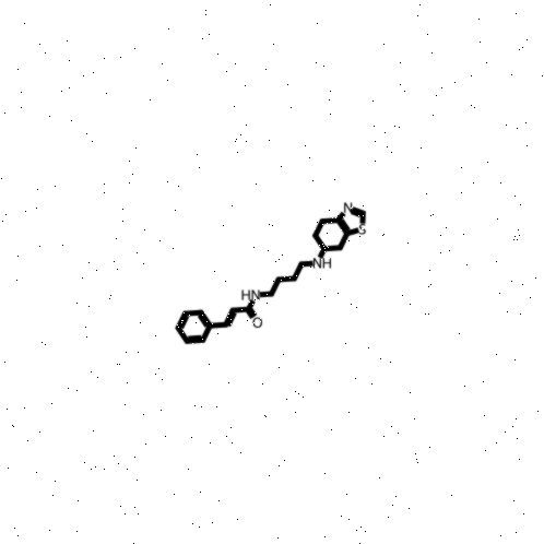 O=C(C=Cc1ccccc1)NCCCCNC1CCc2ncsc2C1